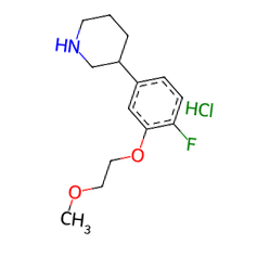 COCCOc1cc(C2CCCNC2)ccc1F.Cl